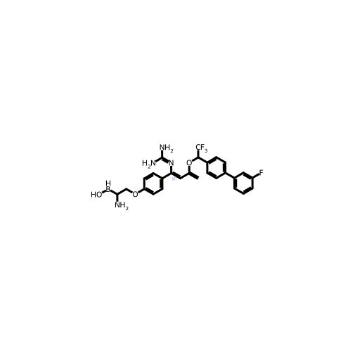 C=C(/C=C(\N=C(N)N)c1ccc(OCC(N)BO)cc1)OC(c1ccc(-c2cccc(F)c2)cc1)C(F)(F)F